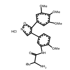 CCC(C)C(N)C(=O)Nc1cc(-c2cnoc2-c2cc(OC)c(OC)c(OC)c2)ccc1OC.Cl